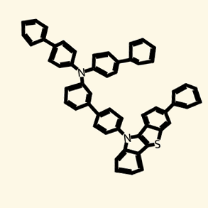 c1ccc(-c2ccc(N(c3ccc(-c4ccccc4)cc3)c3cccc(-c4ccc(-n5c6ccccc6c6sc7cc(-c8ccccc8)ccc7c65)cc4)c3)cc2)cc1